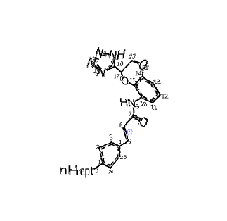 CCCCCCCc1ccc(/C=C/C(=O)Nc2cccc3c2OC(c2nnn[nH]2)CO3)cc1